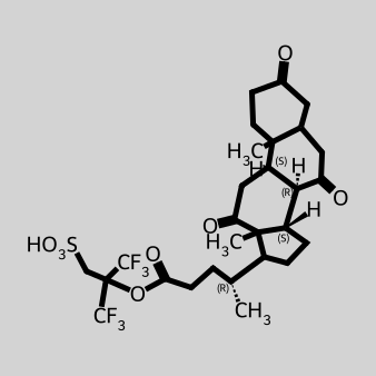 C[C@H](CCC(=O)OC(CS(=O)(=O)O)(C(F)(F)F)C(F)(F)F)C1CC[C@H]2[C@@H]3C(=O)CC4CC(=O)CCC4(C)[C@H]3CC(=O)C12C